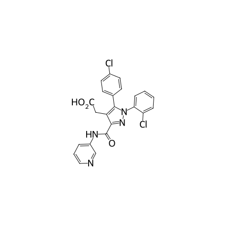 O=C(O)Cc1c(C(=O)Nc2cccnc2)nn(-c2ccccc2Cl)c1-c1ccc(Cl)cc1